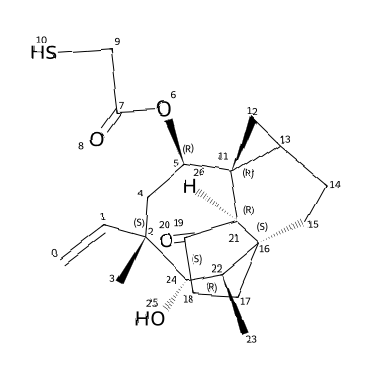 C=C[C@]1(C)C[C@@H](OC(=O)CS)[C@]23CC2CC[C@]2(CCC(=O)[C@H]23)[C@@H](C)[C@@H]1O